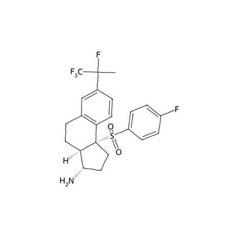 CC(F)(c1ccc2c(c1)CC[C@@H]1[C@@H](N)CC[C@]21S(=O)(=O)c1ccc(F)cc1)C(F)(F)F